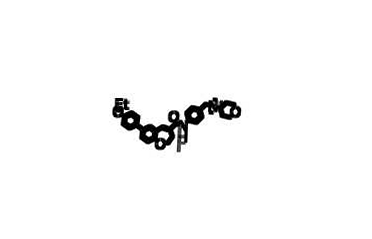 CCOc1ccc(-c2ccc3c(c2)C=C(C(=O)Nc2ccc(C[N+](C)(C)C4CCOCC4)cc2)CCO3)cc1.[I-]